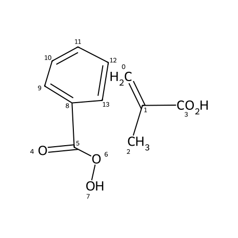 C=C(C)C(=O)O.O=C(OO)c1ccccc1